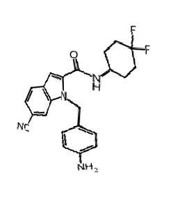 N#Cc1ccc2cc(C(=O)NC3CCC(F)(F)CC3)n(Cc3ccc(N)cc3)c2c1